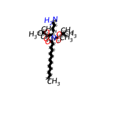 CCCCCCCCCCCCCC(=O)N(C(=O)OC(C)(C)C)[C@@H](CCCCN)C(=O)OC(C)(C)C